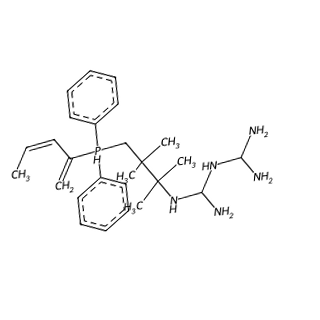 C=C(/C=C\C)[PH](CC(C)(C)C(C)(C)NC(N)NC(N)N)(c1ccccc1)c1ccccc1